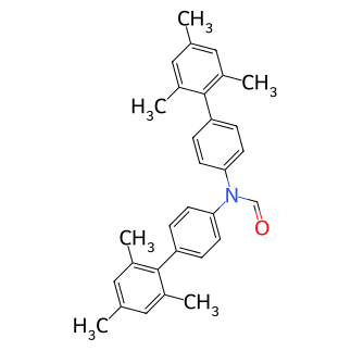 Cc1cc(C)c(-c2ccc(N(C=O)c3ccc(-c4c(C)cc(C)cc4C)cc3)cc2)c(C)c1